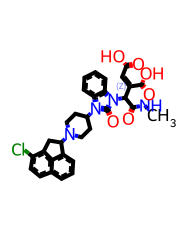 CNC(=O)C(/C(=C/C(=O)O)C(=O)O)n1c(=O)n(C2CCN(C3Cc4c(Cl)ccc5cccc3c45)CC2)c2ccccc21